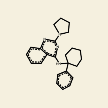 c1ccc(C2(Nc3nc(N4CCCC4)nc4ccccc34)CCCCC2)cc1